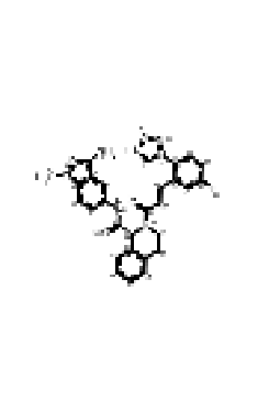 Cn1nc(N)c2cc(NC(=O)[C@@H]3c4ccccc4CCN3C(=O)/C=C/c3cc(Cl)ccc3-n3cnnn3)ccc21